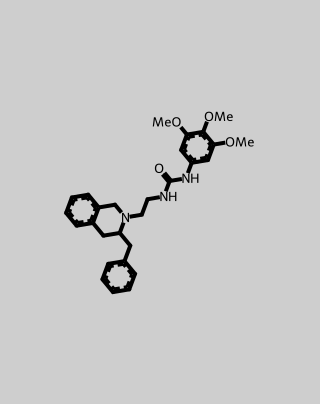 COc1cc(NC(=O)NCCN2Cc3ccccc3CC2Cc2ccccc2)cc(OC)c1OC